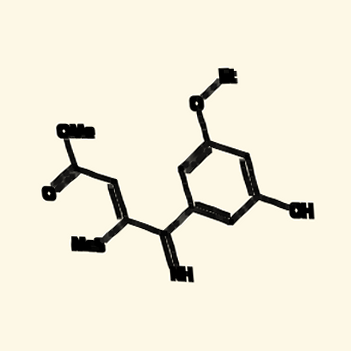 CCOc1cc(O)cc(C(=N)C(=CC(=O)OC)SC)c1